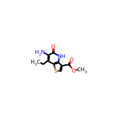 CCc1c(N)c(=O)[nH]c2c(C(=O)OC)csc12